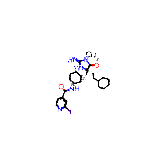 CN1C(=N)N[C@](CCC2CCCCC2)(C[C@H]2CCC[C@@H](NC(=O)c3ccnc(I)c3)C2)C1=O